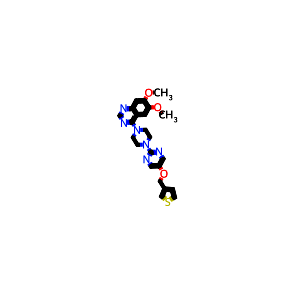 COc1cc2ncnc(N3CCN(c4ncc(OCc5ccsc5)cn4)CC3)c2cc1OC